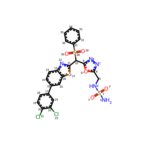 NS(=O)(=O)NCc1nnc(C(c2nc3ccc(-c4ccc(Cl)c(Cl)c4)cc3s2)S(=O)(=O)c2ccccc2)o1